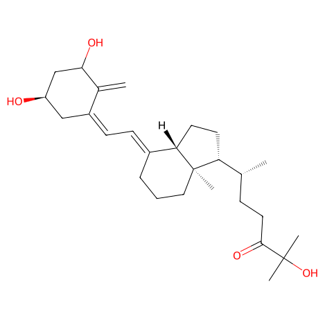 C=C1/C(=C\C=C2/CCC[C@]3(C)[C@@H]([C@H](C)CCC(=O)C(C)(C)O)CC[C@@H]23)C[C@@H](O)CC1O